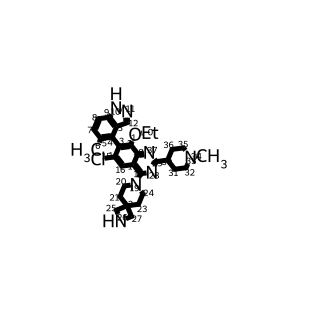 CCOc1c(-c2c(C)ccc3[nH]ncc23)c(Cl)cc2c(N3CCC4(CC3)CNC4)nc(C3CCN(C)CC3)nc12